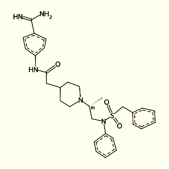 C[C@H](CN(c1ccccc1)S(=O)(=O)Cc1ccccc1)N1CCC(CC(=O)Nc2ccc(C(=N)N)cc2)CC1